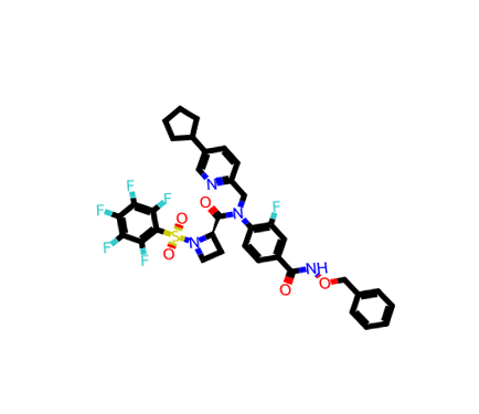 O=C(NOCc1ccccc1)c1ccc(N(Cc2ccc(C3CCCC3)cn2)C(=O)[C@H]2CCN2S(=O)(=O)c2c(F)c(F)c(F)c(F)c2F)c(F)c1